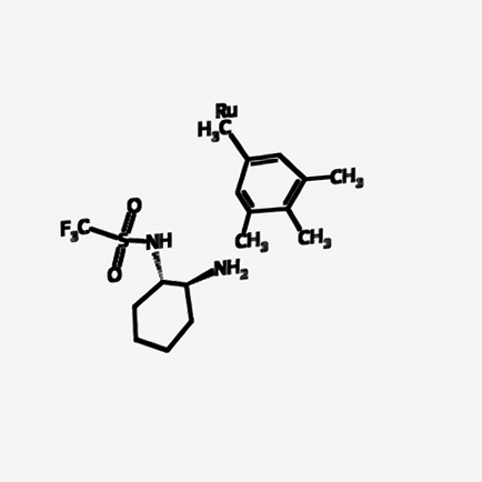 Cc1cc(C)c(C)c(C)c1.N[C@H]1CCCC[C@@H]1NS(=O)(=O)C(F)(F)F.[Ru]